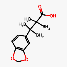 BC(B)(C(=O)O)C(B)(B)c1ccc2c(c1)OCO2